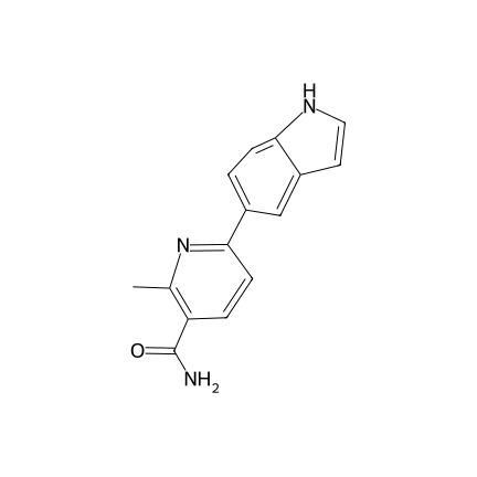 Cc1nc(-c2ccc3[nH]ccc3c2)ccc1C(N)=O